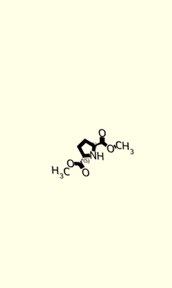 COC(=O)[C@@H]1CC[C@@H](C(=O)OC)N1